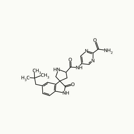 CC(C)(C)Cc1ccc2c(c1)C1(CNC(C(=O)Nc3cnc(C(N)=O)nc3)C1)C(=O)N2